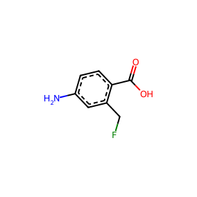 Nc1ccc(C(=O)O)c(CF)c1